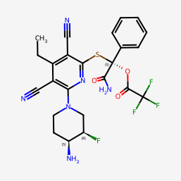 CCc1c(C#N)c(S[C@](OC(=O)C(F)(F)F)(C(N)=O)c2ccccc2)nc(N2CC[C@H](N)[C@H](F)C2)c1C#N